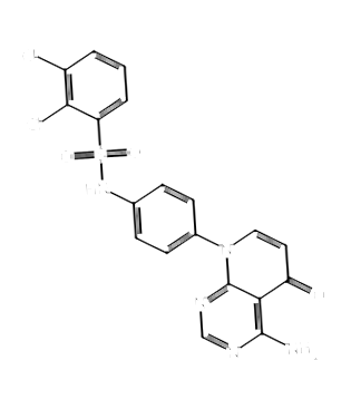 Nc1ncnc2c1c(=O)ccn2-c1ccc(NS(=O)(=O)c2cccc(Cl)c2Cl)cc1